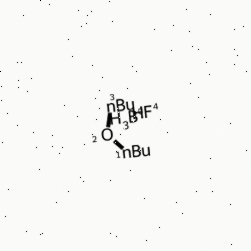 B.CCCCOCCCC.F